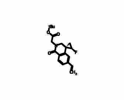 C=Cc1ccc2c(c1)[C@@]1(C[C@H]1F)CN(CC(=O)OC(C)(C)C)C2=O